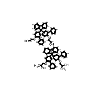 CC(O)COc1ccc(C2(c3ccc(OCC(C)O)c(-c4ccccc4)c3)c3ccccc3-c3ccccc32)cc1-c1ccccc1.OCCOc1ccc(C2(c3ccc(OCCO)c(-c4ccccc4)c3)c3ccccc3-c3ccccc32)cc1-c1ccccc1